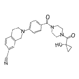 N#Cc1ccc2c(c1)CN(c1ccc(C(=O)N3CCN(C(=O)C4(O)CC4)CC3)cc1)CC2